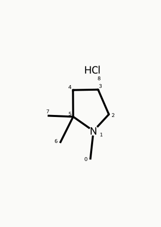 CN1CCCC1(C)C.Cl